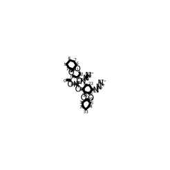 C=C(O)[C@@H]1OC2(CCCCC2)OCC1O[C@@H](C)O[C@@H]1C(N=[N+]=[N-])C[C@@H](N=[N+]=[N-])C2OC3(CCCCC3)OC21